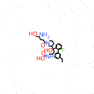 CCc1cccc(-c2c(F)cccc2C(O)(CCCNC(=O)O)C2CCCN(C(=O)CCC(N)CO)C2)c1